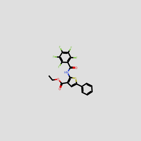 CCOC(=O)c1cc(-c2ccccc2)sc1NC(=O)c1c(F)c(F)c(F)c(F)c1F